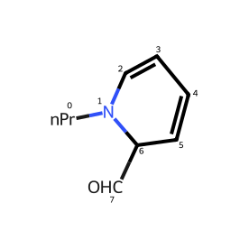 CCCN1C=CC=CC1C=O